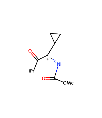 COC(=O)N[C@H](C(=O)C(C)C)C1CC1